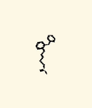 CN(C)CCCCCc1ccccc1Cc1ccccc1